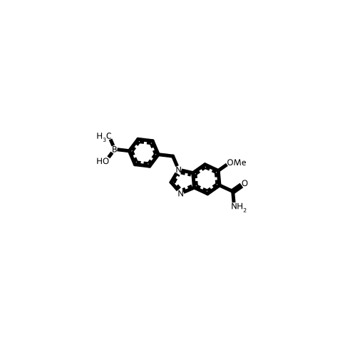 COc1cc2c(cc1C(N)=O)ncn2Cc1ccc(B(C)O)cc1